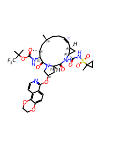 C[C@H]1CC/C=C\[C@H]2C[C@@]2(C(=O)NS(=O)(=O)C2(C)CC2)NC(=O)[C@@H]2C[C@@H](Oc3nccc4c5c(ccc34)OCCO5)CN2C(=O)[C@@H](NC(=O)OC(C)(C)C(F)(F)F)[C@H](C)C1